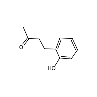 CC(=O)CCc1ccccc1O